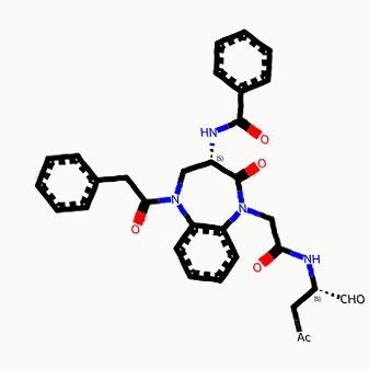 CC(=O)C[C@@H](C=O)NC(=O)CN1C(=O)[C@@H](NC(=O)c2ccccc2)CN(C(=O)Cc2ccccc2)c2ccccc21